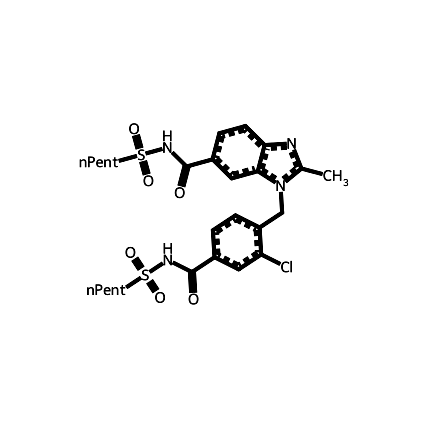 CCCCCS(=O)(=O)NC(=O)c1ccc(Cn2c(C)nc3ccc(C(=O)NS(=O)(=O)CCCCC)cc32)c(Cl)c1